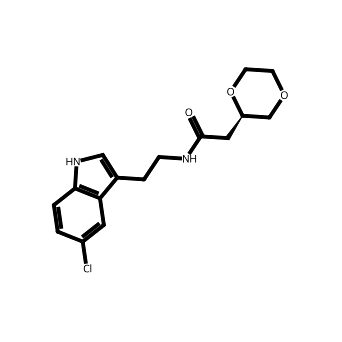 O=C(C[C@@H]1COCCO1)NCCc1c[nH]c2ccc(Cl)cc12